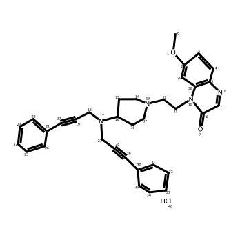 COc1ccc2ncc(=O)n(CCN3CCC(N(CC#Cc4ccccc4)CC#Cc4ccccc4)CC3)c2c1.Cl